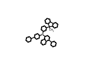 CC1(c2cccc(N(c3ccc(-c4ccccc4)cc3)c3ccc(-c4ccccc4)c4ccccc34)c2)c2ccccc2-c2ccccc21